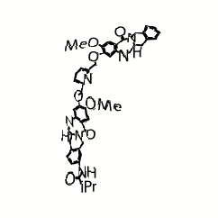 COc1cc2c(cc1OCc1cccc(COc3cc4c(cc3OC)C(=O)N3Cc5cc(NC(=O)C(C)C)ccc5C[C@H]3C=N4)n1)N=C[C@@H]1Cc3ccccc3CN1C2=O